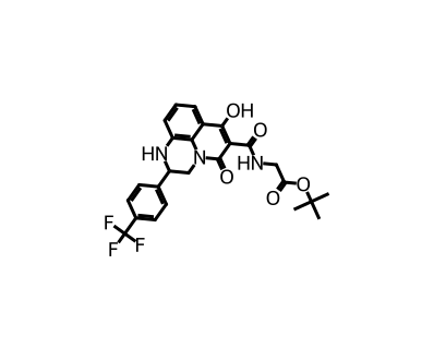 CC(C)(C)OC(=O)CNC(=O)c1c(O)c2cccc3c2n(c1=O)CC(c1ccc(C(F)(F)F)cc1)N3